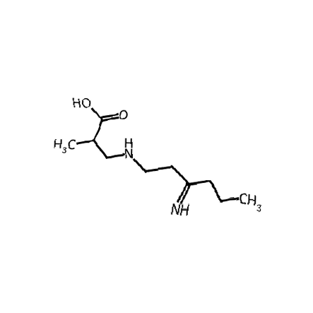 CCCC(=N)CCNCC(C)C(=O)O